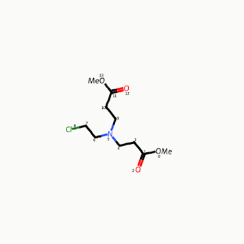 COC(=O)CCN(CCCl)CCC(=O)OC